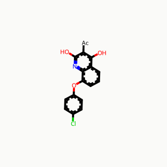 CC(=O)c1c(O)nc2c(Oc3ccc(Cl)cc3)cccc2c1O